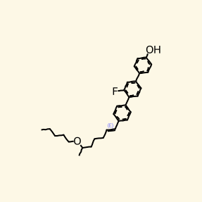 CCCCCOC(C)CCC/C=C/c1ccc(-c2ccc(-c3ccc(O)cc3)cc2F)cc1